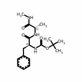 CNC(=O)[C@H](C)NC(=O)[C@H](Cc1ccccc1)NC(=O)OC(C)(C)C